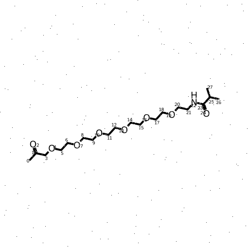 CC(=O)COCCOCCOCCOCCOCCOCCNC(=O)C(C)C